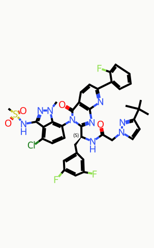 Cn1nc(NS(C)(=O)=O)c2c(Cl)ccc(-n3c([C@H](Cc4cc(F)cc(F)c4)NC(=O)Cn4ccc(C(C)(C)C)n4)nc4nc(-c5ccccc5F)ccc4c3=O)c21